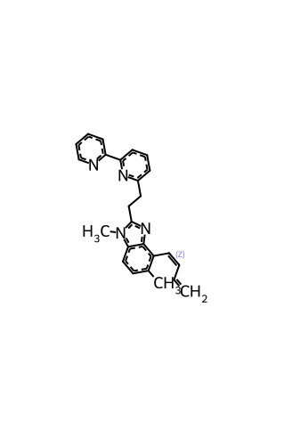 C=C/C=C\c1c(C)ccc2c1nc(CCc1cccc(-c3ccccn3)n1)n2C